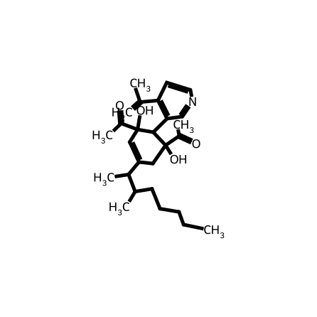 C=C(C)c1ccncc1C1C(O)(C(C)=O)C=C(C(C)C(C)CCCCC)CC1(O)C(C)=O